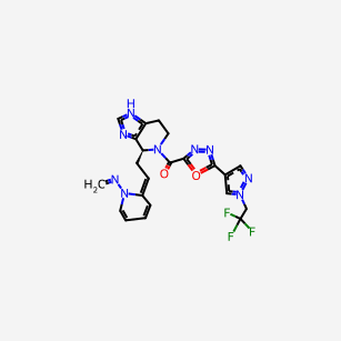 C=NN1C=CC=C/C1=C/C[C@H]1c2nc[nH]c2CCN1C(=O)c1nnc(-c2cnn(CC(F)(F)F)c2)o1